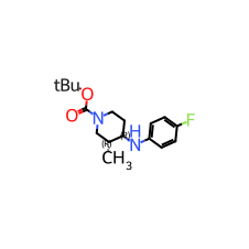 C[C@@H]1CN(C(=O)OC(C)(C)C)CC[C@H]1Nc1ccc(F)cc1